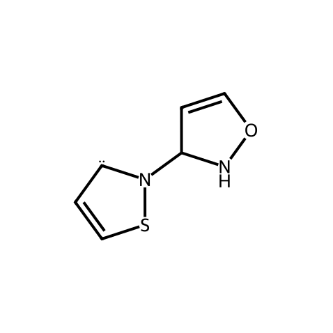 [C]1C=CSN1C1C=CON1